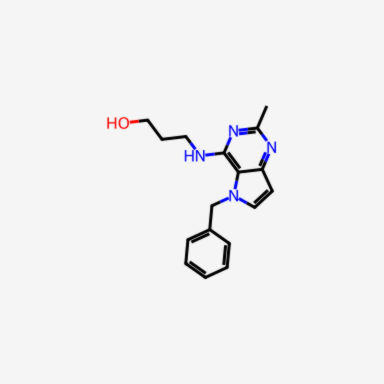 Cc1nc(NCCCO)c2c(ccn2Cc2ccccc2)n1